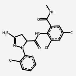 BC1=NN(c2ncccc2Cl)C(C(=O)Nc2c(Cl)cc(Cl)cc2C(=O)NC)C1